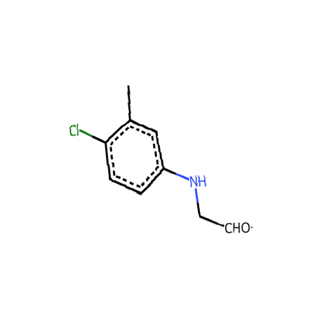 Cc1cc(NC[C]=O)ccc1Cl